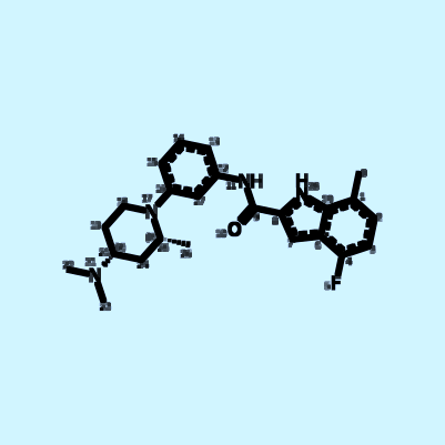 Cc1ccc(F)c2cc(C(=O)Nc3cccc(N4CC[C@@H](N(C)C)C[C@H]4C)c3)[nH]c12